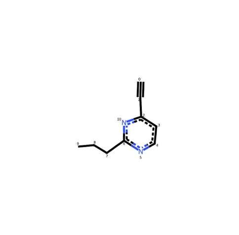 C#Cc1ccnc(CCC)n1